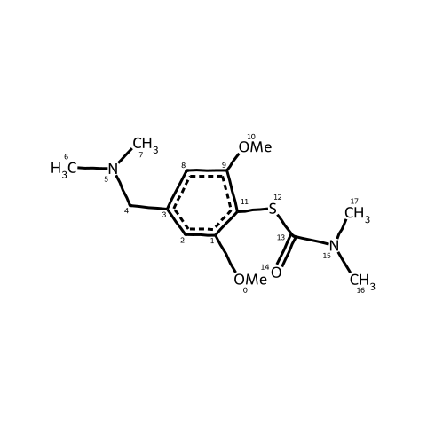 COc1cc(CN(C)C)cc(OC)c1SC(=O)N(C)C